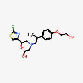 CC(CN(CCO)CC(O)c1csc(Cl)n1)c1ccc(OCCO)cc1